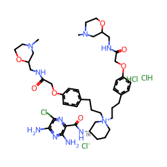 CN1CCOC(CNC(=O)COc2ccc(CCC[N+]3(CCCc4ccc(OCC(=O)NCC5CN(C)CCO5)cc4)CCC[C@H](NC(=O)c4nc(Cl)c(N)nc4N)C3)cc2)C1.Cl.Cl.[Cl-]